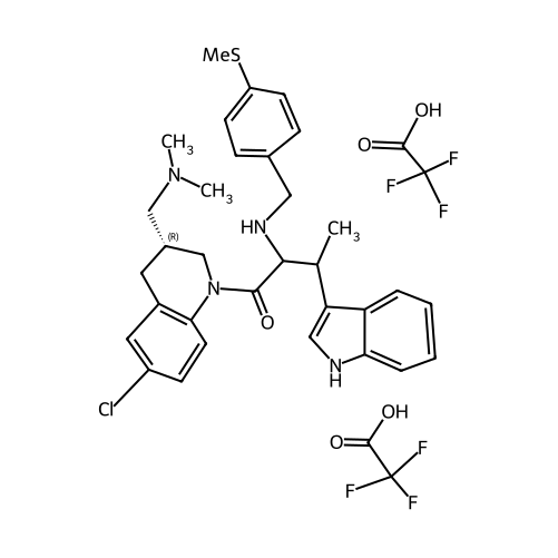 CSc1ccc(CNC(C(=O)N2C[C@@H](CN(C)C)Cc3cc(Cl)ccc32)C(C)c2c[nH]c3ccccc23)cc1.O=C(O)C(F)(F)F.O=C(O)C(F)(F)F